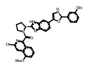 COc1cccc2c(C(=O)N3CCC[C@H]3c3nc4ccc(C5=CNC(c6cccc(O)c6)O5)cc4[nH]3)nc(Cl)cc12